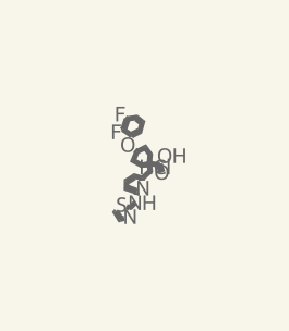 Cl.O=C(O)C1(Cc2cccc(Nc3nccs3)n2)CCC(Oc2cccc(F)c2F)CC1